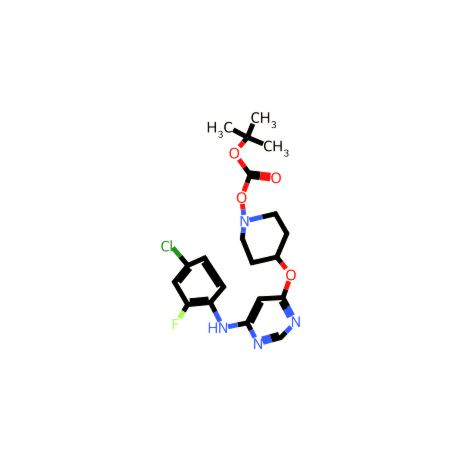 CC(C)(C)OC(=O)ON1CCC(Oc2cc(Nc3ccc(Cl)cc3F)ncn2)CC1